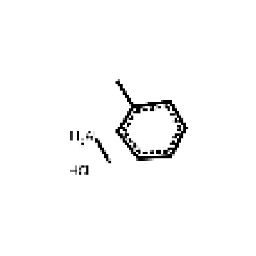 Cc1ccccc1.Cl.[CH3][AlH2]